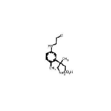 Cc1ccc(NCCCl)cc1C(C)(CN)CC(=O)O